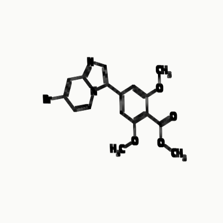 COC(=O)c1c(OC)cc(-c2cnc3cc(Br)ccn23)cc1OC